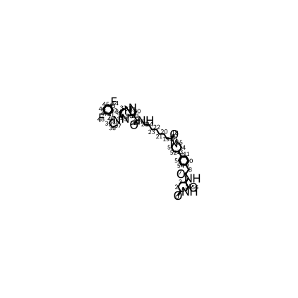 O=C1CCC(NC(=O)Cc2ccc(C3CCN(C(=O)CCCCCCCNC(=O)c4cnn5ccc(N6CCC[C@@H]6c6cc(F)ccc6F)nc45)CC3)cc2)C(=O)N1